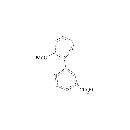 CCOC(=O)c1ccnc(-c2ccccc2OC)c1